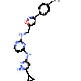 COc1ccc(-c2cc(CNc3nccc(Nc4cc(C5CC5)[nH]n4)n3)on2)cc1